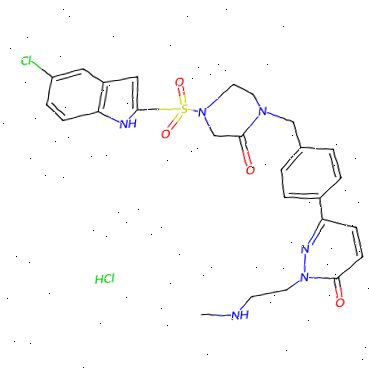 CNCCn1nc(-c2ccc(CN3CCN(S(=O)(=O)c4cc5cc(Cl)ccc5[nH]4)CC3=O)cc2)ccc1=O.Cl